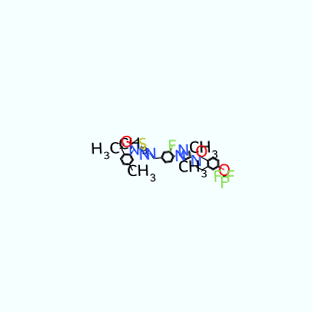 Cc1ccc(C(C)C)c(N2C(=O)CS/C2=N\N=C\c2ccc(-n3nc(C)c(N4CCc5cc(OC(F)(F)F)ccc5C4=O)c3C)c(F)c2)c1